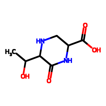 CC(O)C1NCC(C(=O)O)NC1=O